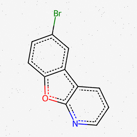 Brc1ccc2oc3ncccc3c2c1